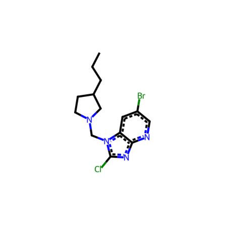 CCCC1CCN(Cn2c(Cl)nc3ncc(Br)cc32)C1